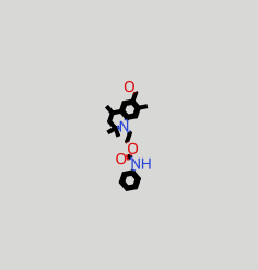 Cc1cc2c(cc1C=O)C(C)CC(C)(C)N2CCOC(=O)Nc1ccccc1